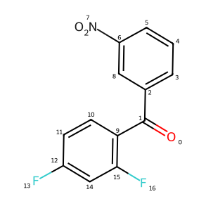 O=C(c1cccc([N+](=O)[O-])c1)c1ccc(F)cc1F